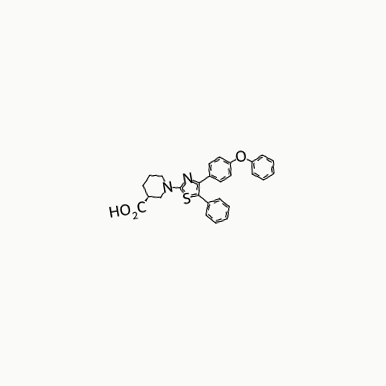 O=C(O)[C@H]1CCCN(c2nc(-c3ccc(Oc4ccccc4)cc3)c(-c3ccccc3)s2)C1